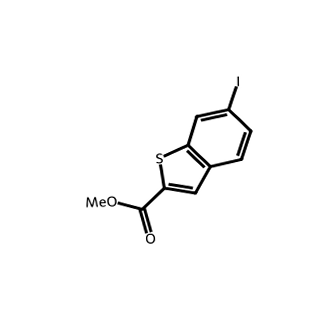 COC(=O)c1cc2ccc(I)cc2s1